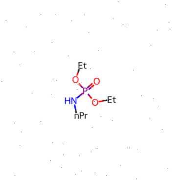 CCCNP(=O)(OCC)OCC